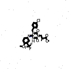 COC(=O)[C@@H](C)Cn1c(=O)[nH]/c(=N\c2ccc(OC)c(C(F)(F)F)c2)n(Cc2ccc(Cl)cc2)c1=O